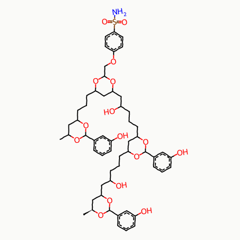 CC1CC(CCCC2CC(CC(O)CCCC3CC(CCCC(O)CC4C[C@H](C)OC(c5cccc(O)c5)O4)OC(c4cccc(O)c4)O3)OC(COc3ccc(S(N)(=O)=O)cc3)O2)OC(c2cccc(O)c2)O1